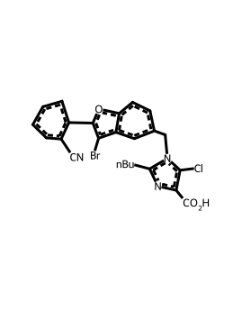 CCCCc1nc(C(=O)O)c(Cl)n1Cc1ccc2oc(-c3ccccc3C#N)c(Br)c2c1